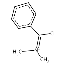 C[N+](C)=C(Cl)c1ccccc1